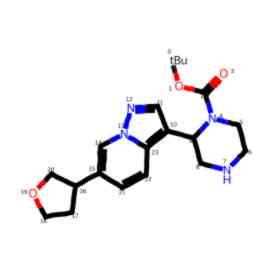 CC(C)(C)OC(=O)N1CCNCC1c1cnn2cc(C3CCOC3)ccc12